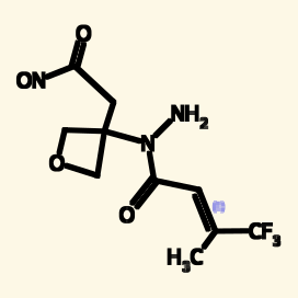 C/C(=C\C(=O)N(N)C1(CC(=O)N=O)COC1)C(F)(F)F